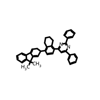 CC1(C)C2=CC(c3ccc(-c4cc(-c5ccccc5)nc(-c5ccccc5)n4)c4c3CCCC4)CC=C2c2ccccc21